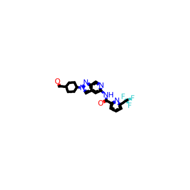 O=CC1CCC(n2cc3cc(NC(=O)c4cccc(C(F)(F)F)n4)ncc3n2)CC1